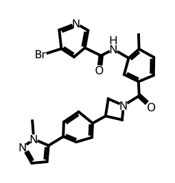 Cc1ccc(C(=O)N2CC(c3ccc(-c4ccnn4C)cc3)C2)cc1NC(=O)c1cncc(Br)c1